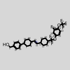 OCc1ccc(C2CCC(/C=C/C3CCC(C(F)(F)Oc4ccc(OC(F)(F)F)c(F)c4)CC3)CC2)cc1